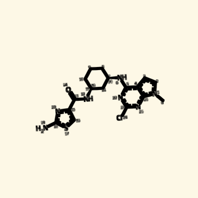 Cn1ccc2c(N[C@@H]3CCC[C@H](NC(=O)c4csc(N)n4)C3)nc(Cl)nc21